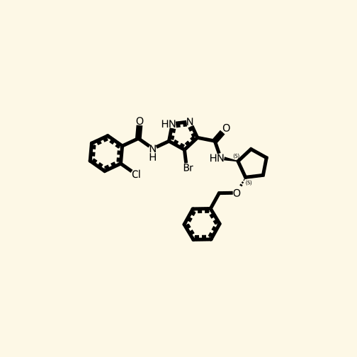 O=C(Nc1[nH]nc(C(=O)N[C@H]2CCC[C@@H]2OCc2ccccc2)c1Br)c1ccccc1Cl